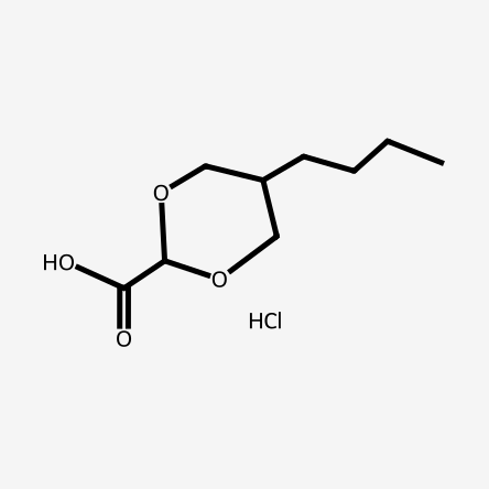 CCCCC1COC(C(=O)O)OC1.Cl